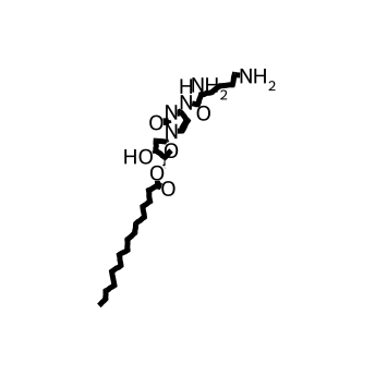 CCCCCCCCCCCCCCCC(=O)OC[C@H]1O[C@@H](n2ccc(NC(=O)[C@@H](N)CCCCN)nc2=O)C[C@@H]1O